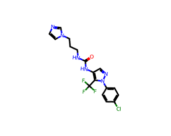 O=C(NCCCn1ccnc1)Nc1cnn(-c2ccc(Cl)cc2)c1C(F)(F)F